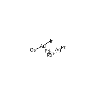 [Ag].[Os][Au][Ir].[Pd].[Pt].[Rh].[Ru]